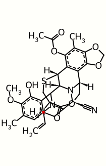 C=CCN1C2c3c(cc(C)c(OC)c3O)CC1[C@H](C#N)N1[C@H]2[C@@H]2SCC(N)C(=O)OC[C@H]1c1c3c(c(C)c(OC(C)=O)c12)OCO3